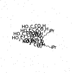 CC(C)CCCCCOC(=O)c1c(C(=O)O)c(C(=O)O)c(C(=O)OC(=O)c2c(C(=O)O)c(C(=O)O)c(C(=O)O)c(C(=O)O)c2C(=O)O)c(C(=O)OC(=O)c2c(C(=O)O)c(C(=O)O)c(C(=O)O)c(C(=O)O)c2C(=O)O)c1C(=O)OCCCCCC(C)C